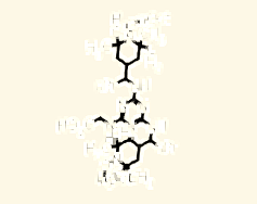 CCCCCCCCON1C(C)(C)CC(C(CCC)Nc2nc(NCC(=O)O)nc(NC(CCC)C3CC(C)(C)N(OCCCCCCCC)C(C)(C)C3)n2)CC1(C)C